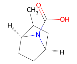 CC1C[C@H]2CC[C@@H]1N2C(=O)O